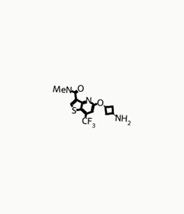 CNC(=O)c1csc2c(C(F)(F)F)cc(O[C@H]3C[C@@H](N)C3)nc12